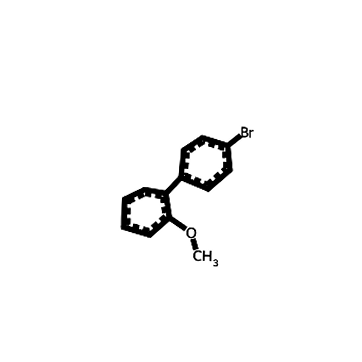 COc1ccccc1-c1ccc(Br)cc1